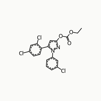 CCOC(=O)Oc1cc(-c2ccc(Cl)cc2Cl)n(-c2cccc(Cl)c2)n1